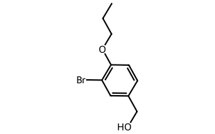 CCCOc1ccc(CO)cc1Br